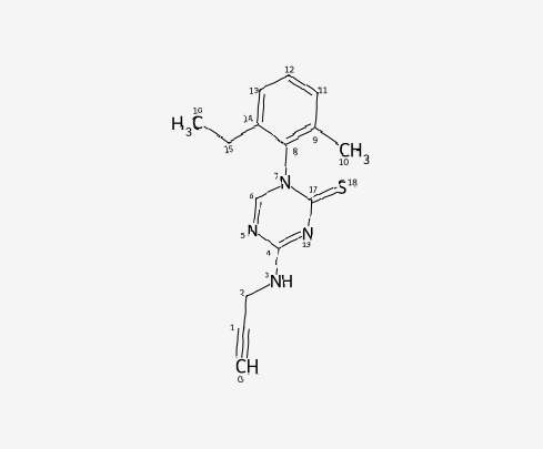 C#CCNc1ncn(-c2c(C)cccc2CC)c(=S)n1